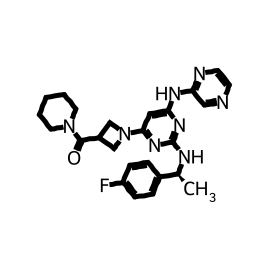 C[C@H](Nc1nc(Nc2cnccn2)cc(N2CC(C(=O)N3CCCCC3)C2)n1)c1ccc(F)cc1